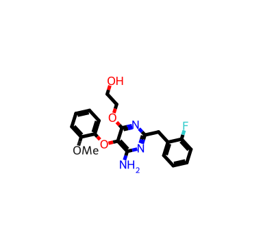 COc1ccccc1Oc1c(N)nc(Cc2ccccc2F)nc1OCCO